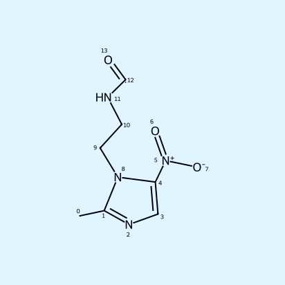 Cc1ncc([N+](=O)[O-])n1CCN[C]=O